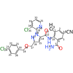 Cc1cc(C#N)cc(C(N)=O)c1NC(=O)c1cc(COCc2ccc(Cl)cc2)nn1-c1ncccc1Cl